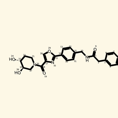 O=C(Cc1ccccc1)NCc1ccc(-c2nc(C(=O)N3CC[C@@H](O)[C@H](O)C3)co2)cc1